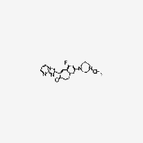 CN1CCCN(c2cc(F)c3c(c2)CCC(=O)C(c2cn4cccnc4n2)=C3)CC1